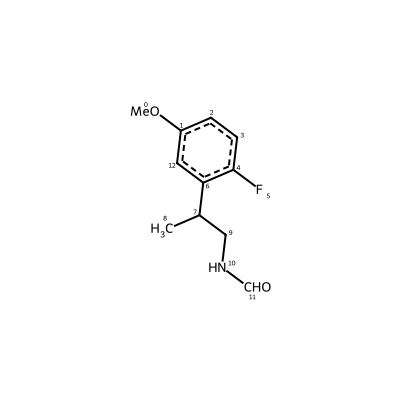 COc1ccc(F)c(C(C)CNC=O)c1